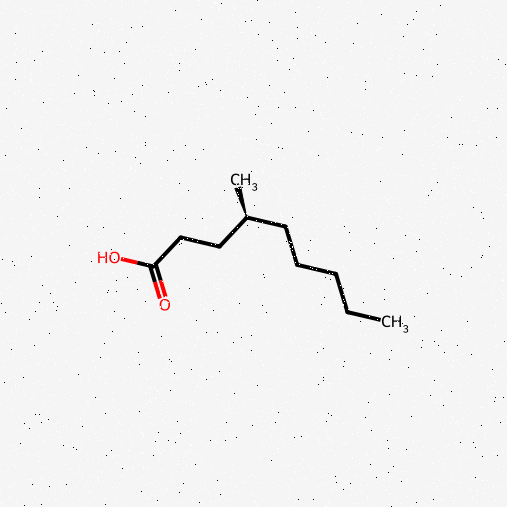 CCCCC[C@H](C)CCC(=O)O